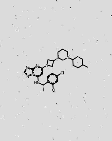 CC1CCC(N2CCC[C@H](C3CN(c4cc(N[C@@H](C)c5ccc(Cl)cc5Cl)n5ncnc5n4)C3)C2)CC1